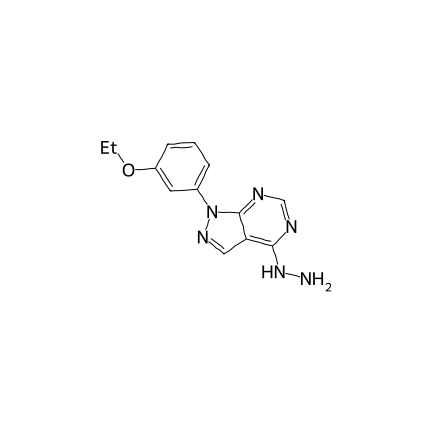 CCOc1cccc(-n2ncc3c(NN)ncnc32)c1